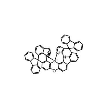 c1ccc2c(c1)-c1ccccc1C21c2ccc[n+]3c2-n2c4c1cccc4c1ccc4c(c12)[N+]31c2c(ccc3c2-n2c5c(cccc5c5ccc[n+]1c52)C31c2ccccc2-c2ccccc21)O4